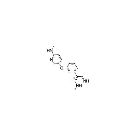 CN/C=C(\C=N)c1cc(Oc2ccc(NC)nc2)ccn1